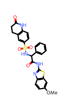 COc1ccc2nc(NC(=O)C(NS(=O)(=O)c3ccc4c(c3)CCC(=O)N4)c3ccccc3)sc2c1